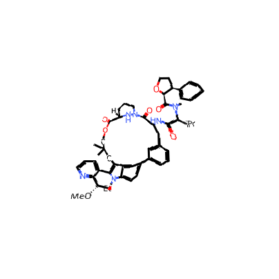 CCn1c(-c2cccnc2[C@H](C)OC)c2c3cc(ccc31)-c1cccc(c1)C[C@H](NC(=O)C(C(C)C)N(C)C(=O)[C@H]1OCC[C@H]1c1ccccc1)C(=O)N1CCC[C@H](N1)C(=O)OCC(C)(C)C2